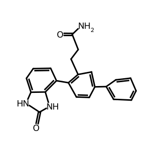 NC(=O)CCc1cc(-c2ccccc2)ccc1-c1cccc2[nH]c(=O)[nH]c12